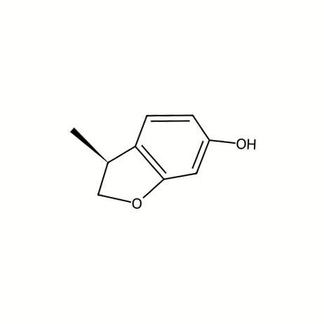 C[C@@H]1COc2cc(O)ccc21